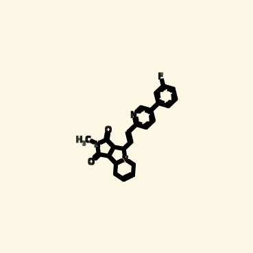 CN1C(=O)C2C(C1=O)C1CC=CCN1C2C=Cc1ccc(-c2cccc(F)c2)cn1